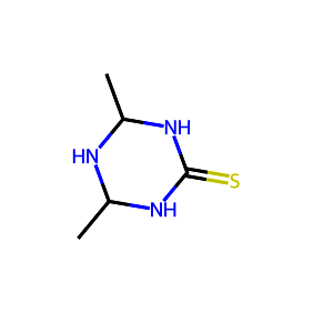 CC1NC(=S)NC(C)N1